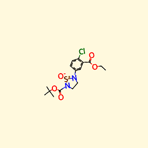 CCOC(=O)c1cc(N2CCN(C(=O)OC(C)(C)C)[S+]2[O-])ccc1Cl